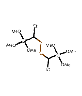 CCC(SSC(CC)[Si](OC)(OC)OC)[Si](OC)(OC)OC